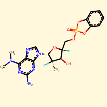 CN(C)c1nc(N)nc2c1ncn2[C@@H]1O[C@](F)(COP2(=O)Oc3ccccc3O2)[C@@H](O)[C@@]1(C)F